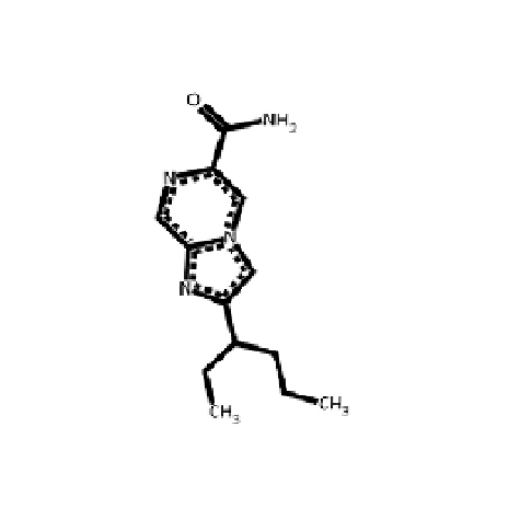 CCCC(CC)c1cn2cc(C(N)=O)ncc2n1